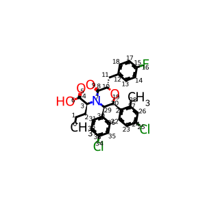 CCC[C@@H](C(=O)O)N1C(=O)[C@H](Cc2ccc(F)cc2)O[C@@H](c2ccc(Cl)cc2C)[C@H]1c1ccc(Cl)cc1